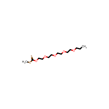 CCCOCCOCCOCCOCCOC(=S)SC